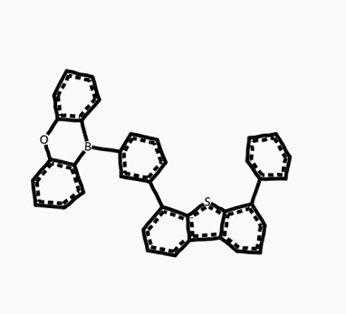 c1ccc(-c2cccc3c2sc2c(-c4cccc(B5c6ccccc6Oc6ccccc65)c4)cccc23)cc1